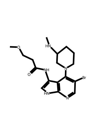 CNC1CCCN(c2c(Br)cnc3[nH]cc(NC(=O)CCOC)c23)C1